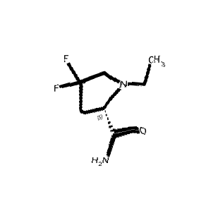 CCN1CC(F)(F)C[C@H]1C(N)=O